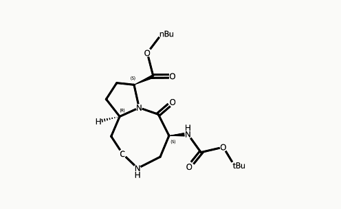 CCCCOC(=O)[C@@H]1CC[C@@H]2CCNC[C@H](NC(=O)OC(C)(C)C)C(=O)N21